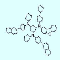 c1ccc(-c2ccc(N(c3cc(N(c4ccccc4)c4ccc(-c5ccc6ccccc6c5)cc4)cc(N(c4ccccc4)c4ccc(-c5ccc6ccccc6c5)cc4)c3)c3ccc4oc5ccccc5c4c3)cc2)cc1